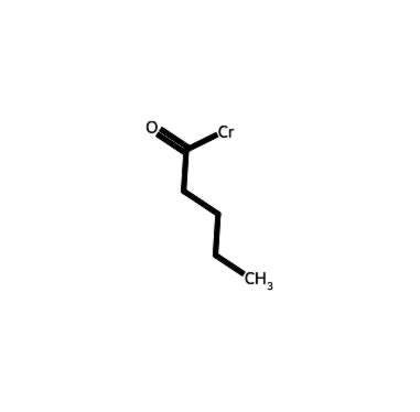 CCCC[C](=O)[Cr]